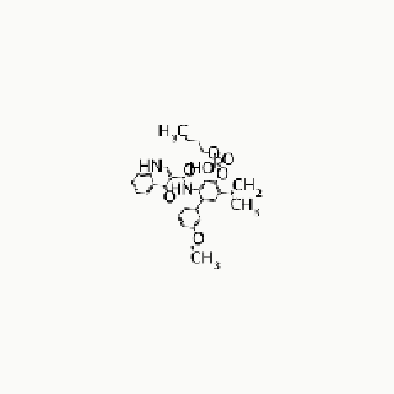 C=C(C)c1cc(-c2cccc(OCC)c2)c(NC(=O)c2c[nH]c3ccccc3c2=O)cc1OP(=O)(O)OCCCC